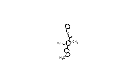 CCc1cc(C(=O)OOCc2ccccc2)c(C)nc1-c1ccc2c(ccn2C)c1